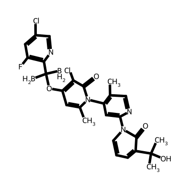 BC(B)(Oc1cc(C)n(-c2cc(-n3cccc(C(C)(C)O)c3=O)ncc2C)c(=O)c1Cl)c1ncc(Cl)cc1F